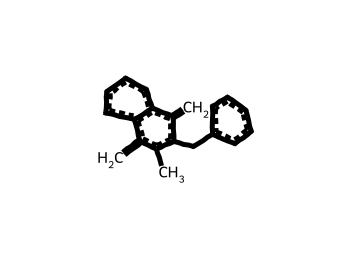 C=c1c(C)c(Cc2ccccc2)c(=C)c2ccccc12